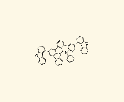 c1cc2c3c(c1)-c1cc(-c4cccc5oc6ccccc6c45)cc4c5ccccc5n(c14)C3n1c3ccccc3c3cc(-c4cccc5oc6ccccc6c45)cc-2c31